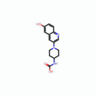 O=C(O)NC1CCN(c2cnc3ccc(O)cc3c2)CC1